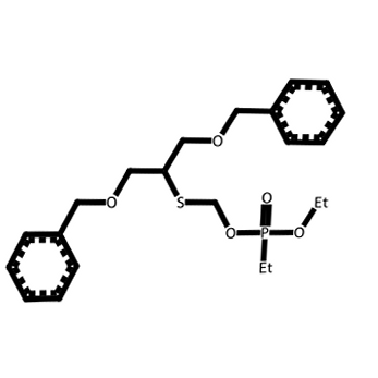 CCOP(=O)(CC)OCSC(COCc1ccccc1)COCc1ccccc1